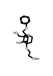 COCCOC12CCN(CC1)C(CO)(COc1ccccc1)C2O